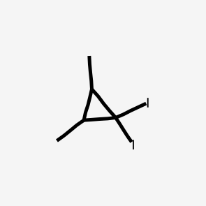 CC1C(C)C1(I)I